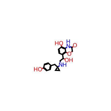 O=C1COc2c(C(O)CNC3(Cc4ccc(O)cc4)CC3)ccc(O)c2N1